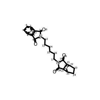 O=C1c2c(c3ccc2o3)C(=O)N1CCCCCCN1C(=O)C2C3CCC(O3)C2C1=O